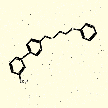 O=C(O)c1cccc(-c2ccc(CSCCOc3ccccc3)cc2)c1